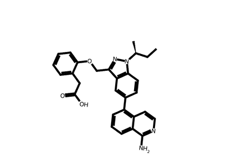 CC[C@H](C)n1nc(COc2ccccc2CC(=O)O)c2cc(-c3cccc4c(N)nccc34)ccc21